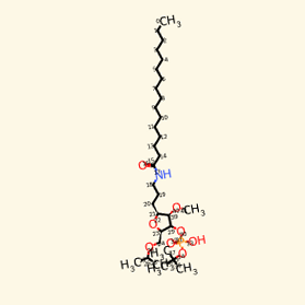 CCCCCCCCCCCCCCCC(=O)NCCC[C@@H]1O[C@H](COC(C)C)C(OP(=O)(O)OC(C)(C)C)[C@@H]1OC